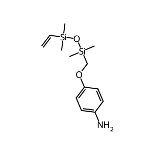 C=C[Si](C)(C)O[Si](C)(C)COc1ccc(N)cc1